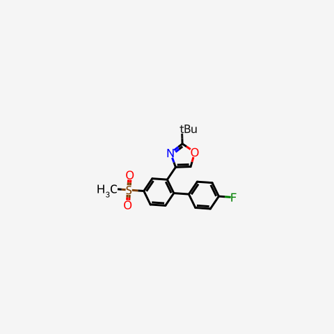 CC(C)(C)c1nc(-c2cc(S(C)(=O)=O)ccc2-c2ccc(F)cc2)co1